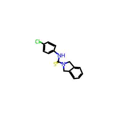 S=C(Nc1ccc(Cl)cc1)N1Cc2ccccc2C1